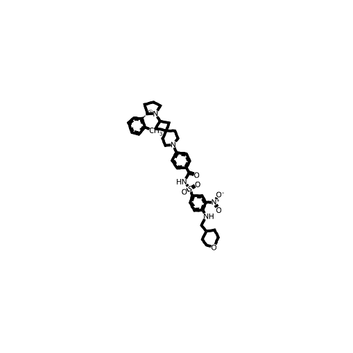 Cc1ccccc1[C@@H]1CCCN1C1CC2(CCN(c3ccc(C(=O)NS(=O)(=O)c4ccc(NCC5CCOCC5)c([N+](=O)[O-])c4)cc3)CC2)C1